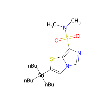 CCC[CH2][Sn]([CH2]CCC)([CH2]CCC)[c]1cn2cnc(S(=O)(=O)N(C)C)c2s1